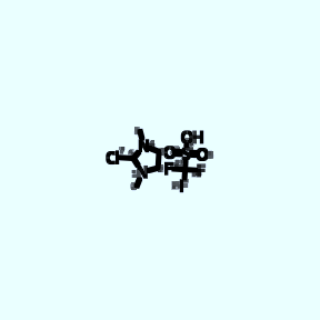 CN1CCN(C)C1Cl.O=S(=O)(O)C(F)(F)F